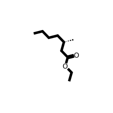 CCCC[C@H](C)CC(=O)OCC